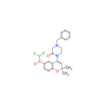 CC1(C)C=C(N2CCN(Cc3ccccc3)CC2=O)c2cc([S+]([O-])C(F)F)ccc2O1